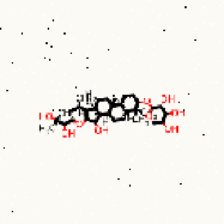 C[C@@H]1C[C@H]([C@@H](O)C(C)(C)O)OC2=C1[C@@]1(C)CCC34C[C@@]35CC[C@H](O[C@@H]3OC[C@H](O)[C@H](O)[C@H]3O)C(C)(C)[C@@H]5CC[C@H]4[C@]1(C)[C@H]2O